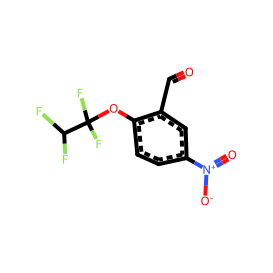 O=Cc1cc([N+](=O)[O-])ccc1OC(F)(F)C(F)F